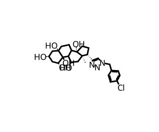 C[C@]12C[C@@H](O)C3C(CC[C@]4(O)C[C@@H](O)C[C@@H](O)C34O)[C@@]1(O)CC[C@@H]2c1cn(Cc2ccc(Cl)cc2)nn1